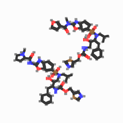 CC(C)CN(C(Cc1ccccc1)C(O)CNC(=O)OCc1cncs1)S(=O)(=O)c1ccc2nc(N(C)C(=O)c3ccoc3)oc2c1.CC(C)CN(CC(O)C(Cc1ccccc1)NC(=O)OCc1cncs1)S(=O)(=O)c1ccc2nc(NC(=O)C3CCCN3C)oc2c1